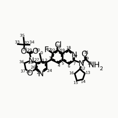 Cc1c(-c2cc3cc(N(C(N)=O)C4CCCC4)ncc3c(Cl)c2F)cnc2c1N(C(=O)OC(C)(C)C)CCO2